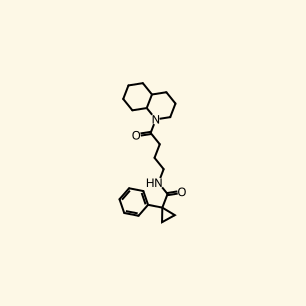 O=C(CCCNC(=O)C1(c2ccccc2)CC1)N1CCCC2CCCCC21